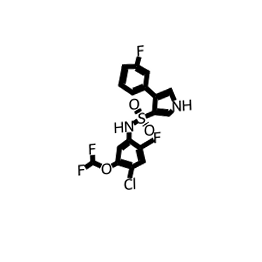 O=S(=O)(Nc1cc(OC(F)F)c(Cl)cc1F)c1c[nH]cc1-c1cccc(F)c1